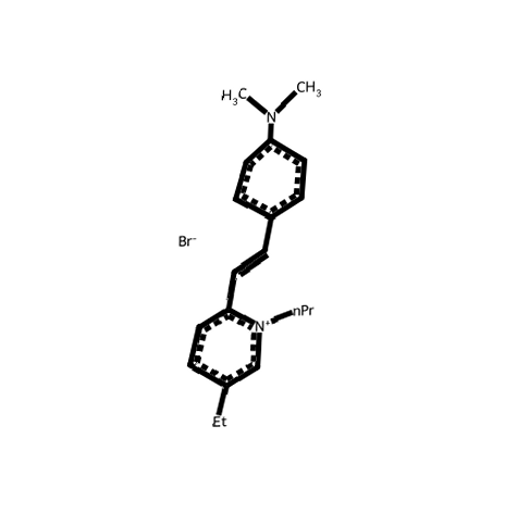 CCC[n+]1cc(CC)ccc1/C=C/c1ccc(N(C)C)cc1.[Br-]